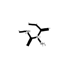 C=C(CC)N(N)C(=C)NC